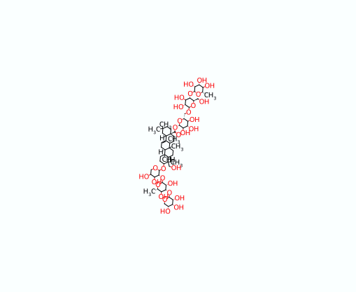 C[C@@H]1O[C@@H](O[C@H]2[C@H](O)[C@@H](O)[C@H](OC[C@H]3O[C@@H](OC(=O)[C@]45CCC(C)(C)C[C@H]4C4=CC[C@@H]6[C@@]7(C)CC[C@H](O[C@@H]8OC[C@H](O)[C@H](O)[C@H]8O[C@@H]8O[C@@H](C)[C@H](O)[C@@H](O[C@@H]9OC[C@@H](O)[C@@H](O)[C@H]9O)[C@H]8O)[C@@](C)(CO)[C@@H]7CC[C@@]6(C)[C@]4(C)CC5)[C@H](O)[C@@H](O)[C@@H]3O)O[C@@H]2CO)[C@H](O)[C@H](O)[C@H]1O